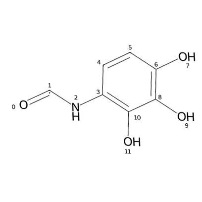 O=[C]Nc1ccc(O)c(O)c1O